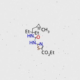 CCOC(=O)c1cnc(NC(=O)NC(CC)(CC)CC2C[C@@H]2C)s1